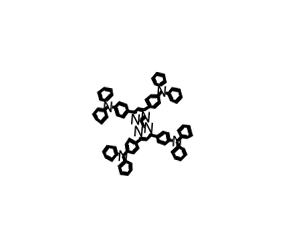 c1ccc(N(c2ccccc2)c2ccc(-c3cc(-c4ccc(N(c5ccccc5)c5ccccc5)cc4)nc(-c4nc(-c5ccc(N(c6ccccc6)c6ccccc6)cc5)cc(-c5ccc(N(c6ccccc6)c6ccccc6)cc5)n4)n3)cc2)cc1